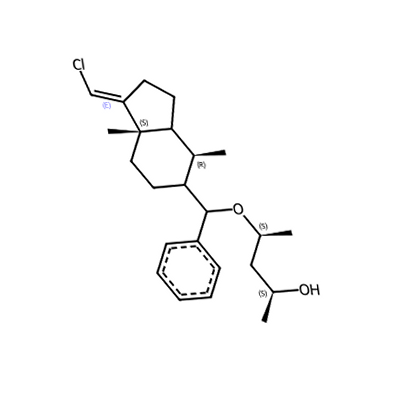 C[C@H]1C(C(O[C@@H](C)C[C@H](C)O)c2ccccc2)CC[C@]2(C)/C(=C/Cl)CCC12